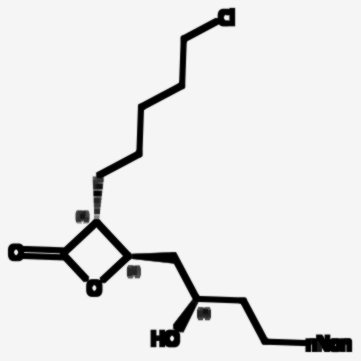 CCCCCCCCCCC[C@@H](O)C[C@H]1OC(=O)[C@@H]1CCCCCCl